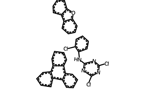 Clc1nc(Cl)nc(Nc2ccccc2Cl)n1.c1ccc2c(c1)c1ccccc1c1ccccc21.c1ccc2c(c1)oc1ccccc12